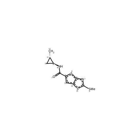 CSc1nc2sc(C(=O)N[C@H]3C[C@@H]3C)cc2s1